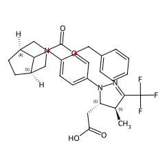 C[C@@H]1C(C(F)(F)F)=NN(c2ccc(CC3[C@@H]4CC[C@H]3CN(C(=O)OCc3ccccc3)C4)cc2)[C@H]1CC(=O)O